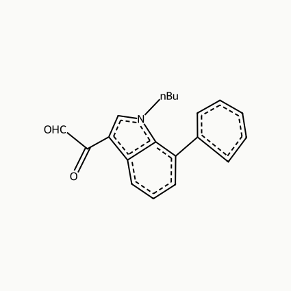 CCCCn1cc(C(=O)C=O)c2cccc(-c3ccccc3)c21